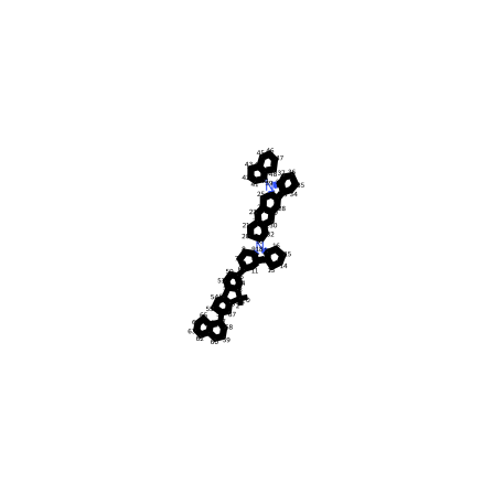 CC1(C)c2cc(-c3ccc4c(c3)c3ccccc3n4-c3ccc4cc5cc6c(cc5cc4c3)c3ccccc3n6-c3cccc4ccccc34)ccc2-c2ccc(-c3cccc4ccccc34)cc21